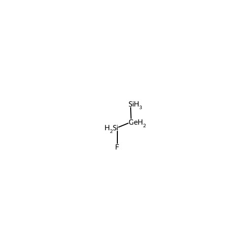 F[SiH2][GeH2][SiH3]